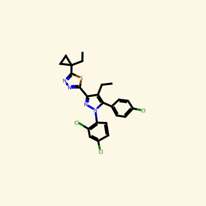 CCc1c(-c2nnc(C3(CC)CC3)s2)nn(-c2ccc(Cl)cc2Cl)c1-c1ccc(Cl)cc1